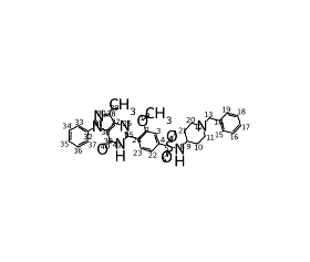 COc1cc(S(=O)(=O)NC2CCN(Cc3ccccc3)CC2)ccc1-c1nc2c(C)nn(-c3ccccc3)c2c(=O)[nH]1